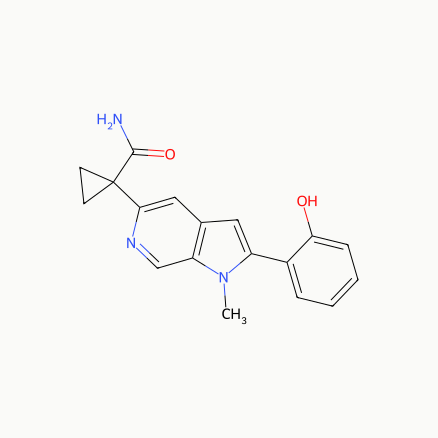 Cn1c(-c2ccccc2O)cc2cc(C3(C(N)=O)CC3)ncc21